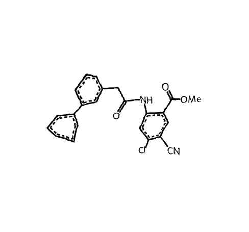 COC(=O)c1cc(C#N)c(Cl)cc1NC(=O)Cc1cccc(-c2ccccc2)c1